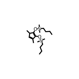 CCCC[Si](C)(C)OC1=C(O[Si](C)(C)CCCC)C(C)C=C1C